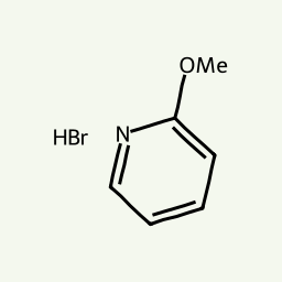 Br.COc1ccccn1